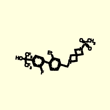 CCc1cc(CN2CC3(C2)CN(S(C)(=O)=O)C3)ccc1-c1ccc(C(O)(C(F)(F)F)C(F)(F)F)cc1F